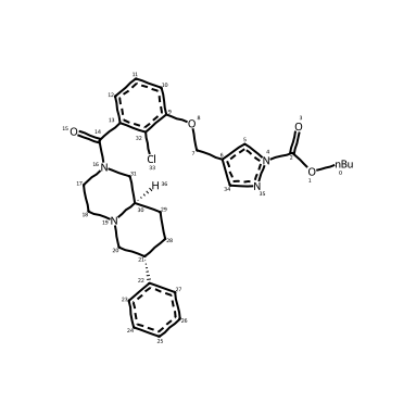 CCCCOC(=O)n1cc(COc2cccc(C(=O)N3CCN4C[C@@H](c5ccccc5)CC[C@@H]4C3)c2Cl)cn1